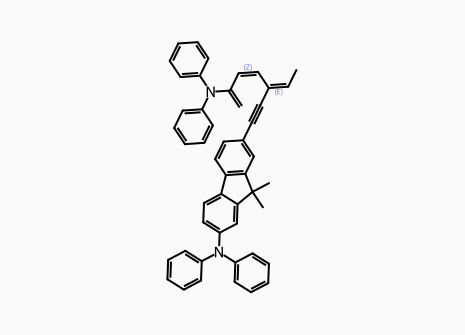 C=C(/C=C\C(C#Cc1ccc2c(c1)C(C)(C)c1cc(N(c3ccccc3)c3ccccc3)ccc1-2)=C/C)N(c1ccccc1)c1ccccc1